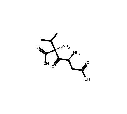 CC(C)[C@](N)(C(=O)O)C(=O)[C@@H](N)CC(=O)O